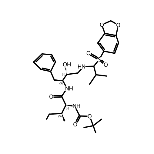 CC[C@H](C)[C@H](NC(=O)OC(C)(C)C)C(=O)N[C@@H](Cc1ccccc1)[C@H](O)CNC(C(C)C)S(=O)(=O)c1ccc2c(c1)OCO2